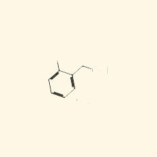 OCc1ccccc1Cl.[Cu]